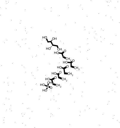 C=CC(=O)O.C=CC(=O)O.C=CC(=O)O.C=CC(=O)O.C=CC(=O)O.O=P(O)(O)O.OC[C@@H](O)[C@@H](O)CO